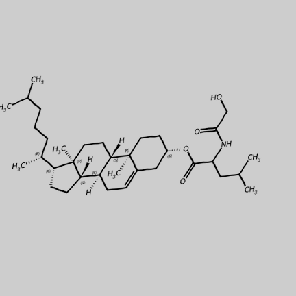 CC(C)CCC[C@@H](C)[C@H]1CC[C@H]2[C@@H]3CC=C4C[C@@H](OC(=O)C(CC(C)C)NC(=O)CO)CC[C@]4(C)[C@H]3CC[C@]12C